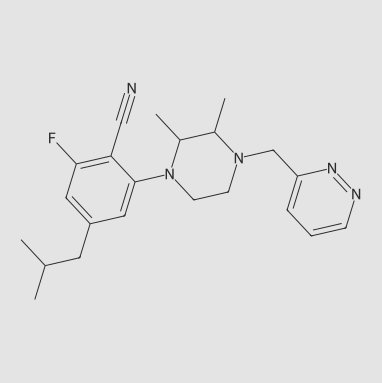 CC(C)Cc1cc(F)c(C#N)c(N2CCN(Cc3cccnn3)C(C)C2C)c1